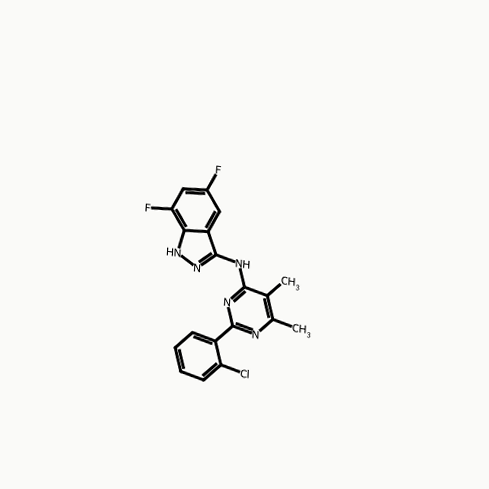 Cc1nc(-c2ccccc2Cl)nc(Nc2n[nH]c3c(F)cc(F)cc23)c1C